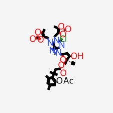 C#C[C@]1(COC(=O)CC(C)(C)c2c(C)cc(C)cc2OC(C)=O)O[C@@H](n2cnc3/c(=N/Cc4oc(=O)oc4C)n(Cc4oc(=O)oc4C)c(Cl)nc32)C[C@@H]1O